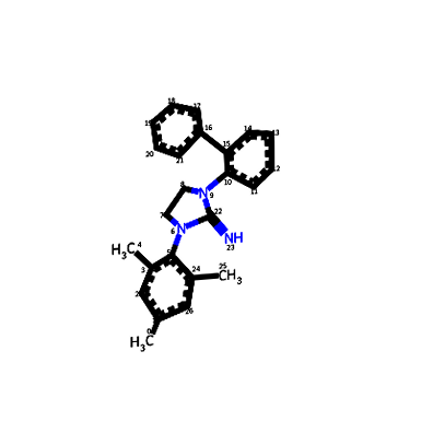 Cc1cc(C)c(N2CCN(c3ccccc3-c3ccccc3)C2=N)c(C)c1